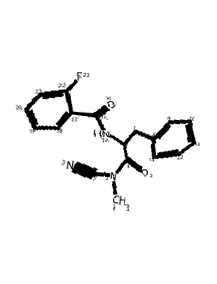 CN(C#N)C(=O)C(Cc1ccccc1)NC(=O)c1ccccc1F